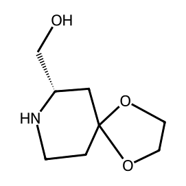 OC[C@@H]1CC2(CCN1)OCCO2